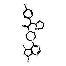 C[C@@H]1C[C@H](F)c2ncnc(N3CCN(C(=O)C(c4ccc(Cl)cc4)C4CCCN4)CC3)c21